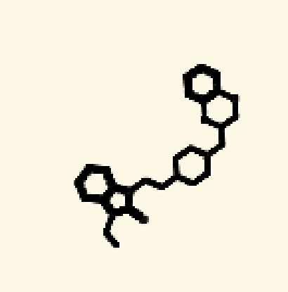 CCn1c(=O)n(CCC2CCN(CC3COc4ccccc4O3)CC2)c2ccccc21